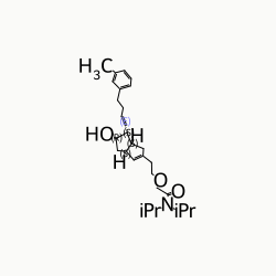 Cc1cccc(CC/C=C/[C@@H]2[C@H]3CC(CCOCC(=O)N(C(C)C)C(C)C)=C[C@H]3C[C@H]2O)c1